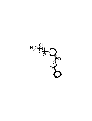 CC(C)(C)OC(=O)N1CCC[C@H](C(=O)OCC(=O)c2ccccc2)C1